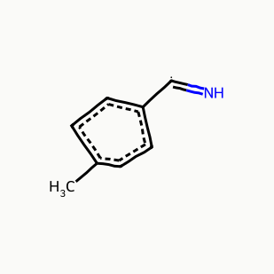 Cc1ccc([C]=N)cc1